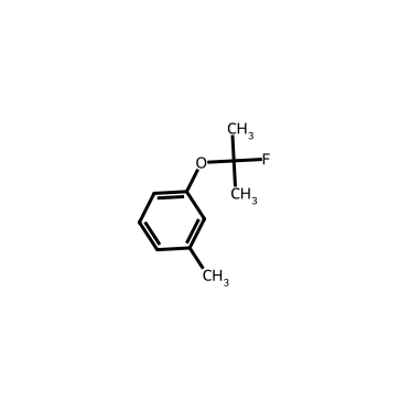 Cc1cccc(OC(C)(C)F)c1